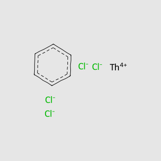 [Cl-].[Cl-].[Cl-].[Cl-].[Th+4].c1ccccc1